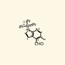 Cc1cnc2c(ccn2[Si](C(C)C)(C(C)C)C(C)C)c1C=O